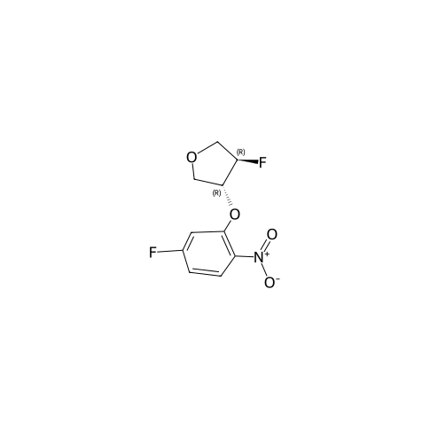 O=[N+]([O-])c1ccc(F)cc1O[C@@H]1COC[C@H]1F